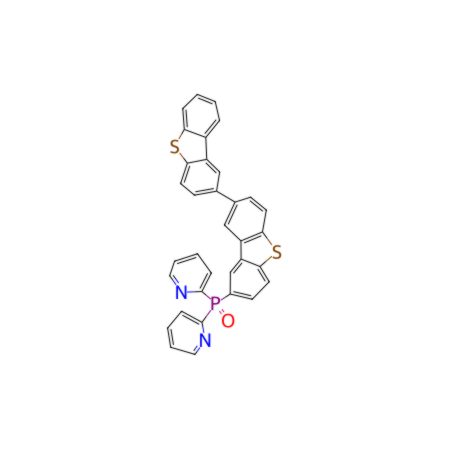 O=P(c1ccc2sc3ccc(-c4ccc5sc6ccccc6c5c4)cc3c2c1)(c1ccccn1)c1ccccn1